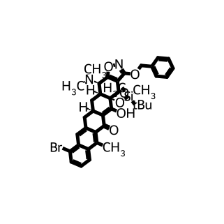 Cc1c2c(cc3c(Br)cccc13)C[C@H]1C[C@H]3[C@H](N(C)C)c4onc(OCc5ccccc5)c4C(=O)[C@@]3(O[Si](C)(C)C(C)(C)C)C(O)=C1C2=O